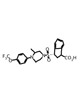 CC1CN(S(=O)(=O)[C@H]2CC(C(=O)O)c3ccccc32)CCN1c1ccc(OC(F)(F)F)cc1